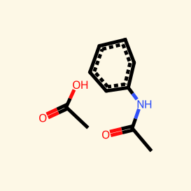 CC(=O)Nc1ccccc1.CC(=O)O